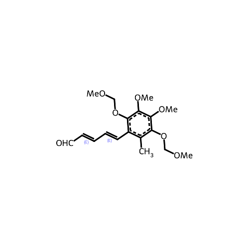 COCOc1c(C)c(/C=C/C=C/C=O)c(OCOC)c(OC)c1OC